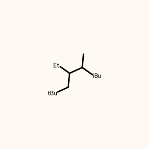 CCC(C)C(C)C(CC)CC(C)(C)C